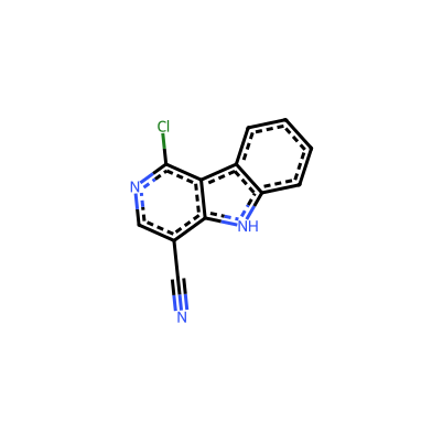 N#Cc1cnc(Cl)c2c1[nH]c1ccccc12